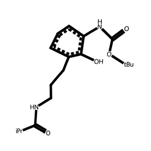 CC(C)C(=O)NCCCc1cccc(NC(=O)OC(C)(C)C)c1O